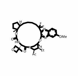 CC[C@@H]1[C@@H]2CN(C(=O)[C@H](C3(C)COC3)NC(=O)O[C@]3(C)CCC[C@H]3CCCCC(F)(F)c3nc4ccc(OC)cc4nc3O2)[C@@H]1C(C)=O